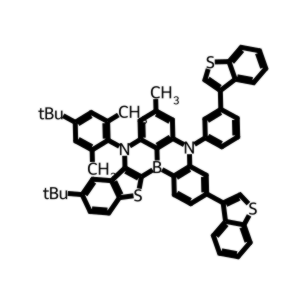 Cc1cc2c3c(c1)N(c1c(C)cc(C(C)(C)C)cc1C)c1c(sc4ccc(C(C)(C)C)cc14)B3c1ccc(-c3csc4ccccc34)cc1N2c1cccc(-c2csc3ccccc23)c1